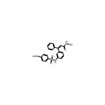 CC(=O)Nc1ccc(S(=O)(=O)Nc2cccc(/C(=C\C(=O)NO)c3ccccc3)c2)cc1